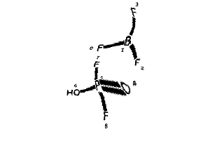 FB(F)F.O=P(O)(F)F